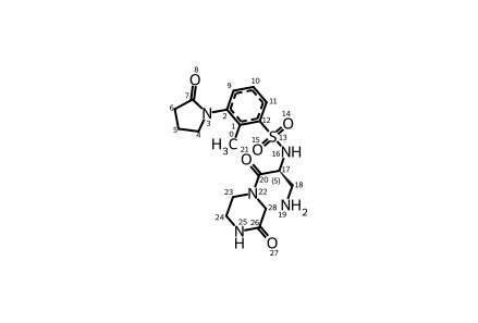 Cc1c(N2CCCC2=O)cccc1S(=O)(=O)N[C@@H](CN)C(=O)N1CCNC(=O)C1